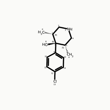 C[C@@H]1CNC[C@H](C)[C@]1(O)c1ccc(Cl)cc1